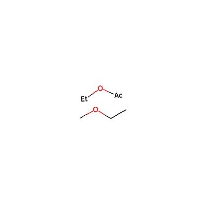 CCOC.CCOC(C)=O